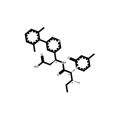 CC[C@@H](C)[C@H](C(=O)N[C@@H](CC(=O)O)c1cncc(-c2c(C)cccc2C)c1)n1ccc(C)cc1=O